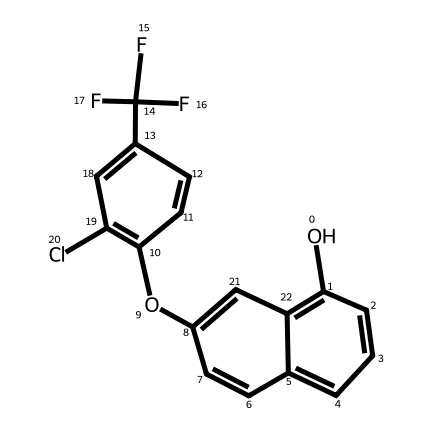 Oc1cccc2ccc(Oc3ccc(C(F)(F)F)cc3Cl)cc12